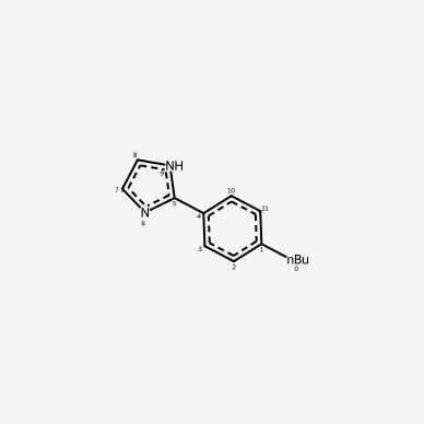 CCCCc1ccc(-c2n[c]c[nH]2)cc1